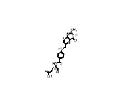 Nc1nc2ncc(CNc3ccc(C(=O)N[C@H]([C]=O)CCC(=O)O)cc3)nc2c(=O)[nH]1